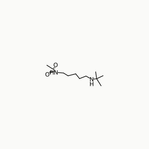 CC(C)(C)NCCCCCNS(C)(=O)=O